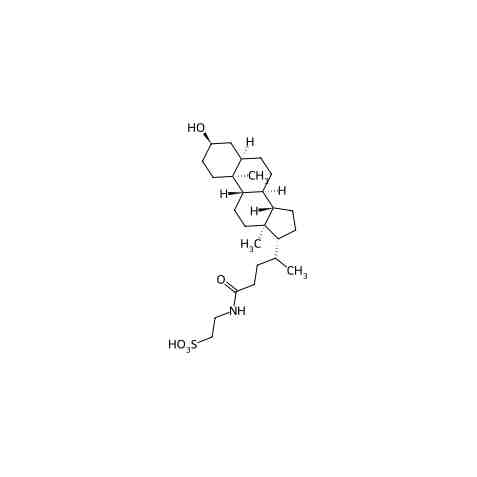 CC(CCC(=O)NCCS(=O)(=O)O)[C@H]1CC[C@H]2[C@@H]3CC[C@@H]4C[C@H](O)CC[C@]4(C)[C@H]3CC[C@]12C